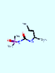 CCOC(=O)C(CCSC)NC(=O)NP(=O)(OC)SC